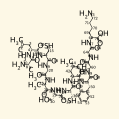 CC(C)C[C@H](NC(=O)[C@H](C)N)C(=O)N[C@@H](CS)C(=O)NCC(=O)N[C@@H](C)C(=O)N[C@@H](CO)C(=O)N[C@@H](CS)C(=O)N[C@@H](CC(C)C)C(=O)N[C@@H](Cc1ccccc1)C(=O)NCC(=O)NCC(=O)N[C@@H](CCCCN)C(=O)O